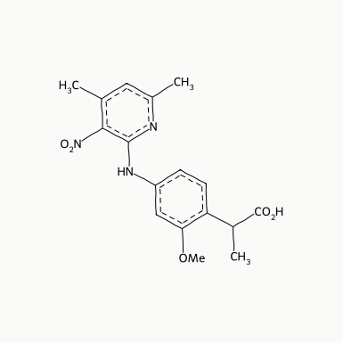 COc1cc(Nc2nc(C)cc(C)c2[N+](=O)[O-])ccc1C(C)C(=O)O